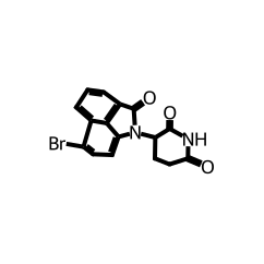 O=C1CCC(N2C(=O)c3cccc4c(Br)ccc2c34)C(=O)N1